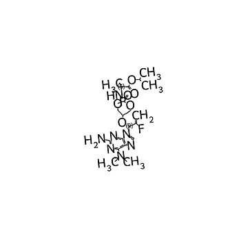 C=C(F)[C@@H](OC1COP(=O)(N[C@@H](C)C(=O)OC(C)C)OC1)n1cnc2c(N(C)C)nc(N)nc21